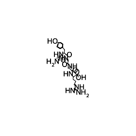 N=C(N)NCCCC(NC(=O)CNC(=O)CNC(=O)C(Cc1ccc(O)cc1)NC(=O)CN)C(=O)O